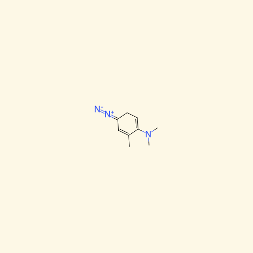 CC1=CC(=[N+]=[N-])CC=C1N(C)C